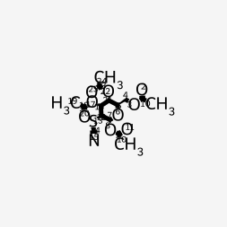 CC(=O)OC[C@H]1O[C@H](OC(C)=O)[C@@H](SC#N)[C@@H](OC(C)=O)[C@@H]1OC(C)=O